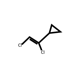 Cl/C=C(\Cl)C1CC1